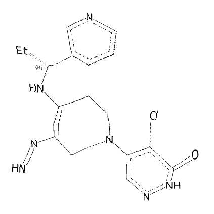 CC[C@@H](NC1=C(N=N)CN(c2cn[nH]c(=O)c2Cl)CC1)c1cccnc1